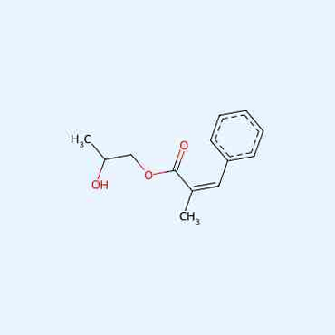 CC(=Cc1ccccc1)C(=O)OCC(C)O